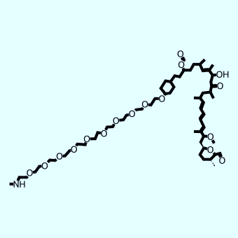 CNCCOCCOCCOCCOCCOCCOCCOCCOCCOCCOC1CCC(CCC(CCC(C)/C=C(\C)C(O)CC(=O)C(C)CC(C)/C=C/C=C/C=C(\C)C(C[C@@H]2CC[C@@H](C)C(C=O)O2)OC)OC=O)CC1